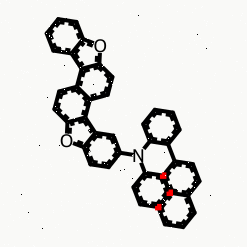 c1ccc(N(c2ccc3oc4ccc5c(ccc6oc7ccccc7c65)c4c3c2)c2ccccc2-c2ccc3ccccc3c2)cc1